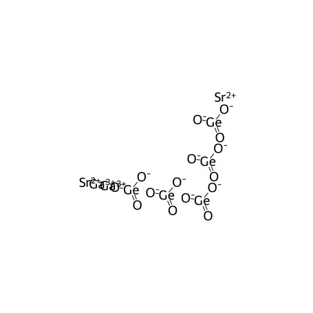 [Ga+3].[Ga+3].[O]=[Ge]([O-])[O-].[O]=[Ge]([O-])[O-].[O]=[Ge]([O-])[O-].[O]=[Ge]([O-])[O-].[O]=[Ge]([O-])[O-].[Sr+2].[Sr+2]